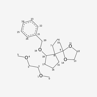 COCCOC.[CH2]CC1(C2(C)OCCO2)CCCC1OCc1ccccc1